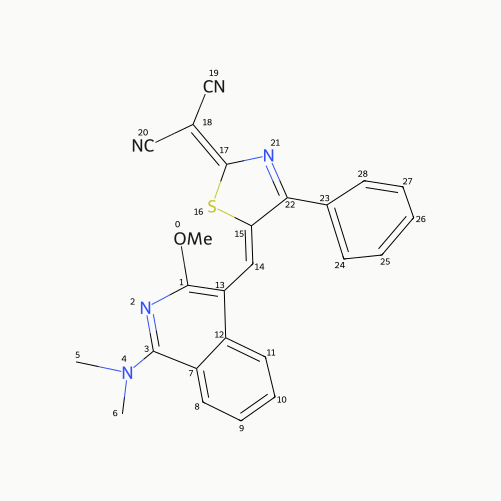 COc1nc(N(C)C)c2ccccc2c1/C=c1\sc(=C(C#N)C#N)nc1-c1ccccc1